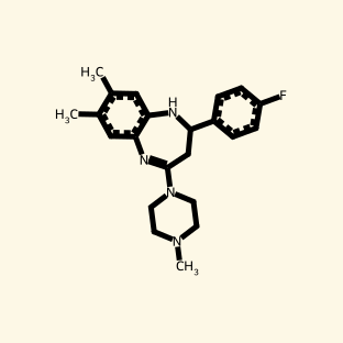 Cc1cc2c(cc1C)NC(c1ccc(F)cc1)CC(N1CCN(C)CC1)=N2